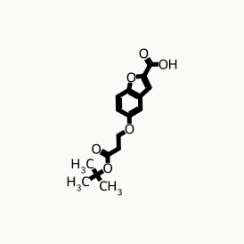 CC(C)(C)OC(=O)CCOc1ccc2oc(C(=O)O)cc2c1